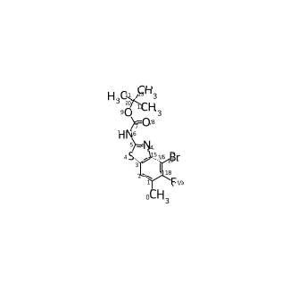 Cc1cc2sc(NC(=O)OC(C)(C)C)nc2c(Br)c1F